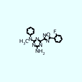 CN(c1ccccc1)c1nc(N)nc(-c2noc(-c3ccccc3F)n2)n1